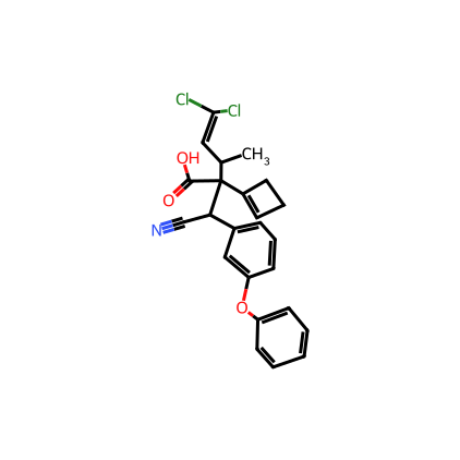 CC(C=C(Cl)Cl)C(C(=O)O)(C1=CCC1)C(C#N)c1cccc(Oc2ccccc2)c1